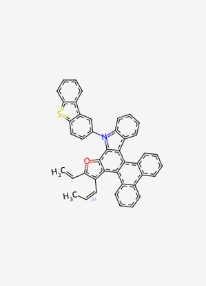 C=Cc1oc2c(c1/C=C\C)c1c3ccccc3c3ccccc3c1c1c3ccccc3n(-c3ccc4sc5ccccc5c4c3)c21